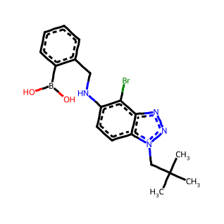 CC(C)(C)Cn1nnc2c(Br)c(NCc3ccccc3B(O)O)ccc21